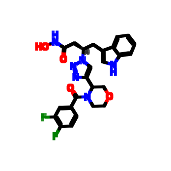 O=C(C[C@@H](Cc1c[nH]c2ccccc12)n1cc(C2COCCN2C(=O)c2ccc(F)c(F)c2)nn1)NO